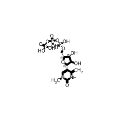 C=C1NC(=O)N(C)C=C1[C@@H]1O[C@H](COP(=O)(O)OP(=O)(O)OP(=O)(O)O)[C@H](O)C1O